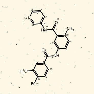 Cc1cc(C(=O)Nc2ccc(C)c(C(=O)Nc3cccnc3)c2)ccc1Br